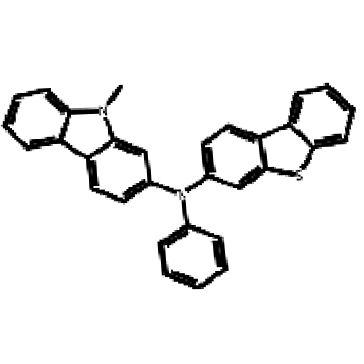 Cn1c2ccccc2c2ccc(N(c3ccccc3)c3ccc4c(c3)sc3ccccc34)cc21